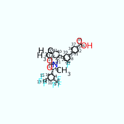 C[C@H]1[C@@H](c2cc(C(F)(F)F)cc(C(F)(F)F)c2)OC(=O)N1CC1=C(c2cc(F)cc(-c3ccc(C(=O)O)cc3)c2)CCC(C)(C)C1